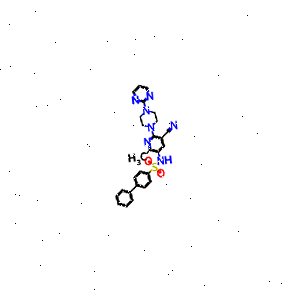 Cc1nc(N2CCN(c3ncccn3)CC2)c(C#N)cc1NS(=O)(=O)c1ccc(-c2ccccc2)cc1